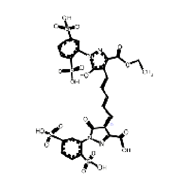 CCOC(=O)c1nn(-c2cc(S(=O)(=O)O)ccc2S(=O)(=O)O)c(O)c1C=CC=C/C=C1\C(=O)N(c2cc(S(=O)(=O)O)ccc2S(=O)(=O)O)N=C1C(=O)O